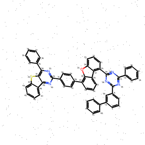 c1ccc(-c2cccc(-c3nc(-c4ccccc4)nc(-c4cccc5oc6c(-c7ccc(-c8nc(-c9ccccc9)c9sc%10ccccc%10c9n8)cc7)cccc6c45)n3)c2)cc1